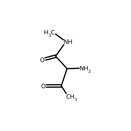 CNC(=O)C(N)C(C)=O